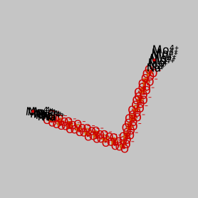 O=P([O-])([O-])[O-].O=P([O-])([O-])[O-].O=P([O-])([O-])[O-].O=P([O-])([O-])[O-].O=P([O-])([O-])[O-].O=P([O-])([O-])[O-].O=P([O-])([O-])[O-].O=P([O-])([O-])[O-].O=P([O-])([O-])[O-].O=P([O-])([O-])[O-].O=P([O-])([O-])[O-].O=P([O-])([O-])[O-].O=P([O-])([O-])[O-].O=P([O-])([O-])[O-].O=P([O-])([O-])[O-].O=P([O-])([O-])[O-].O=P([O-])([O-])[O-].[Mo+4].[Mo+4].[Mo+4].[Mo+4].[Mo+4].[Mo+4].[Mo+4].[Mo+4].[Mo+4].[Mo+4].[Mo+4].[Mo+4].[Na+].[Na+].[Na+]